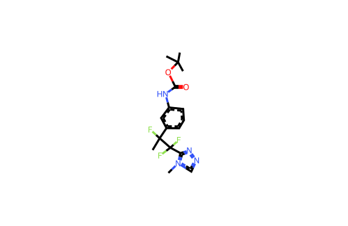 Cn1cnnc1C(F)(F)C(C)(F)c1cccc(NC(=O)OC(C)(C)C)c1